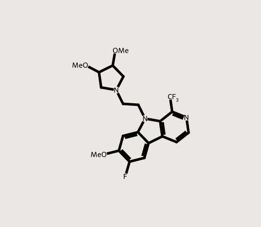 COc1cc2c(cc1F)c1ccnc(C(F)(F)F)c1n2CCN1CC(OC)C(OC)C1